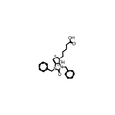 O=C(O)CCCC[C@@H]1SC=C2[C@@H]1N(Cc1ccccc1)C(=O)N2Cc1ccccc1